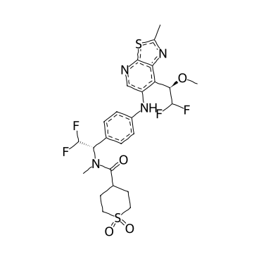 CO[C@H](c1c(Nc2ccc([C@@H](C(F)F)N(C)C(=O)C3CCS(=O)(=O)CC3)cc2)cnc2sc(C)nc12)C(F)F